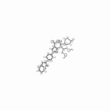 COCC(COC)N(C(=O)C1CCC(C)CC1)c1nn(-c2ccc(-c3cc4ncccn4n3)cc2)cc1C(=O)O